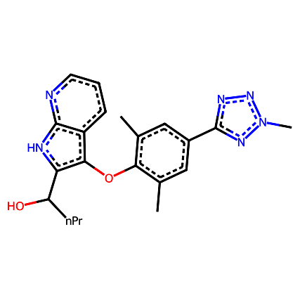 CCCC(O)c1[nH]c2ncccc2c1Oc1c(C)cc(-c2nnn(C)n2)cc1C